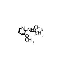 COc1cccnc1NCC(C)C